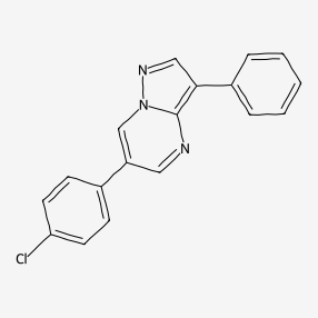 Clc1ccc(-c2cnc3c(-c4ccccc4)cnn3c2)cc1